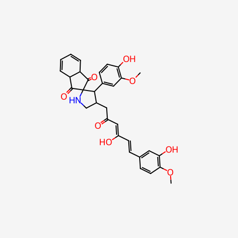 COc1ccc(/C=C/C(O)=C/C(=O)CC2CNC3(C(=O)C4C=CC=CC4C3=O)C2c2ccc(O)c(OC)c2)cc1O